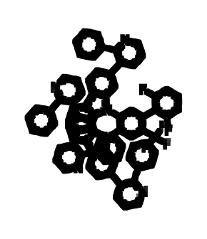 Fc1cccc(F)c1-c1cc(-n2c3cc(-c4cccnc4-c4ccccc4)ccc3c3ccc(-c4cccnc4-c4ccccc4)cc32)c(-n2c3cc(-c4cccnc4-c4ccccc4)ccc3c3ccc(-c4cccnc4-c4ccccc4)cc32)cc1C(F)(F)F